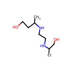 CCC(CO)NCCNC(C)CCO